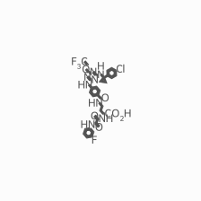 O=C(Nc1cccc(F)c1)C(=O)NC(CCNC(=O)c1ccc(Nc2nc(NC3(c4ccc(Cl)cc4)CC3)nc(OCC(F)(F)F)n2)cc1)C(=O)O